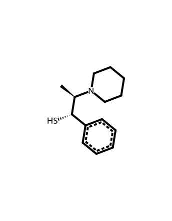 C[C@H]([C@@H](S)c1ccccc1)N1CCCCC1